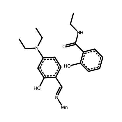 CCN(CC)c1ccc(C=[N][Mn])c(O)c1.CCNC(=O)c1ccccc1O